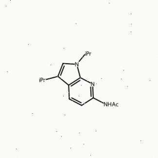 CC(=O)Nc1ccc2c(C(C)C)cn(C(C)C)c2n1